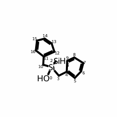 O[Si]([SiH3])(Cc1ccccc1)Cc1ccccc1